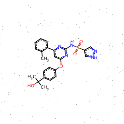 Cc1ccccc1-c1cc(Oc2ccc(C(C)(C)O)cc2)nc(NS(=O)(=O)c2cn[nH]c2)n1